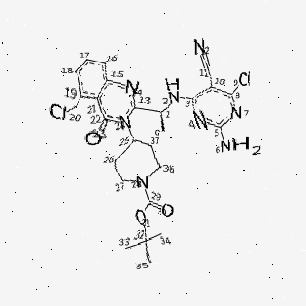 C[C@H](Nc1nc(N)nc(Cl)c1C#N)c1nc2cccc(Cl)c2c(=O)n1C1CCN(C(=O)OC(C)(C)C)CC1